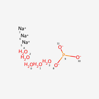 O.O.O.O.O.[Na+].[Na+].[Na+].[O-]P([O-])[O-]